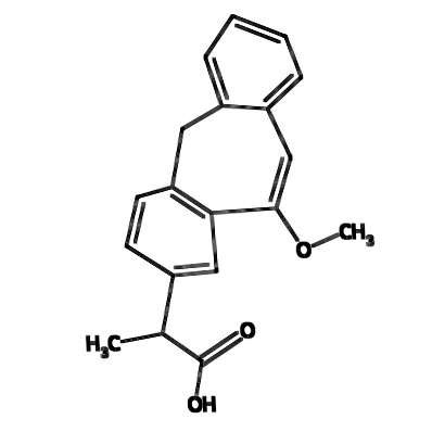 COC1=Cc2ccccc2Cc2ccc(C(C)C(=O)O)cc21